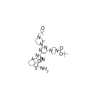 C[C@H]1CN(CC2(C)COC2)CCCN1c1nc(-c2noc([C@@]3(C)CCCc4sc(N)c(C#N)c43)n2)cc(N2CCN(C(=O)OC(C)(C)C)CC2)n1